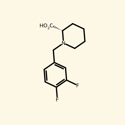 O=C(O)[C@@H]1CCCCN1Cc1ccc(F)c(F)c1